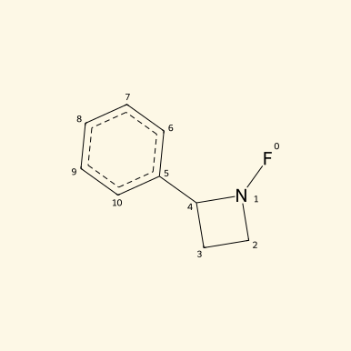 FN1CCC1c1ccccc1